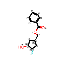 O=C(OC[C@H]1C[C@@H](F)[C@@H](O)C1)c1ccccc1